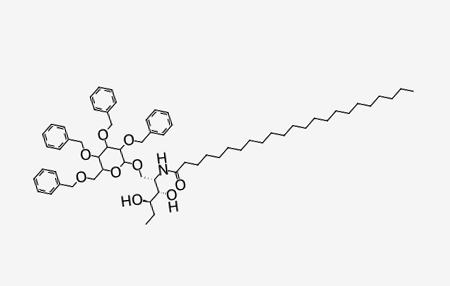 CCCCCCCCCCCCCCCCCCCCCCC(=O)N[C@@H](COC1OC(COCc2ccccc2)C(OCc2ccccc2)C(OCc2ccccc2)C1OCc1ccccc1)[C@H](O)[C@H](O)CC